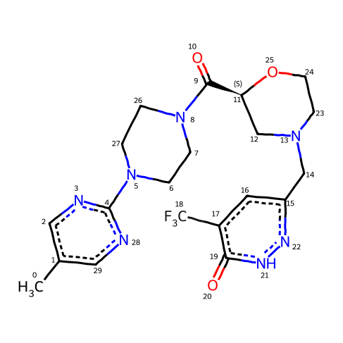 Cc1cnc(N2CCN(C(=O)[C@@H]3CN(Cc4cc(C(F)(F)F)c(=O)[nH]n4)CCO3)CC2)nc1